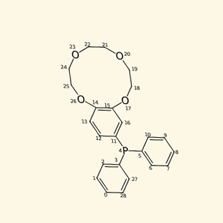 c1ccc(P(c2ccccc2)c2ccc3c(c2)OCCOCCOCCO3)cc1